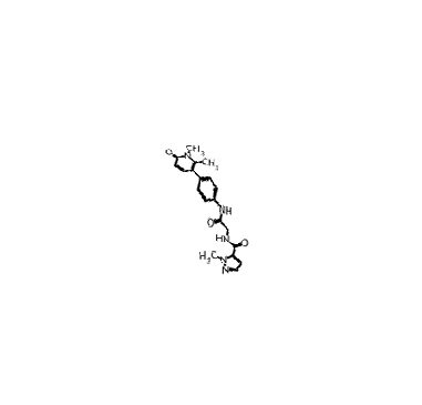 Cc1c(-c2ccc(NC(=O)CNC(=O)c3ccnn3C)cc2)ccc(=O)n1C